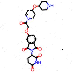 O=C1CCC(N2C(=O)c3ccc(OCC(=O)N4CCC(OC5CCNCC5)CC4)cc3C2=O)C(=O)N1